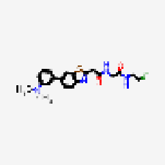 CN(C)c1cccc(-c2ccc3nc(CC(=O)NCC(=O)NCCF)sc3c2)c1